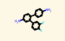 Nc1ccc(-c2ccc(N)cc2-c2ccc(F)c(F)c2)cc1